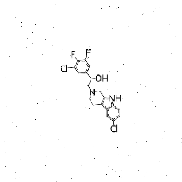 OC(CN1CCc2c([nH]c3ccc(Cl)cc23)C1)c1cc(F)c(F)c(Cl)c1